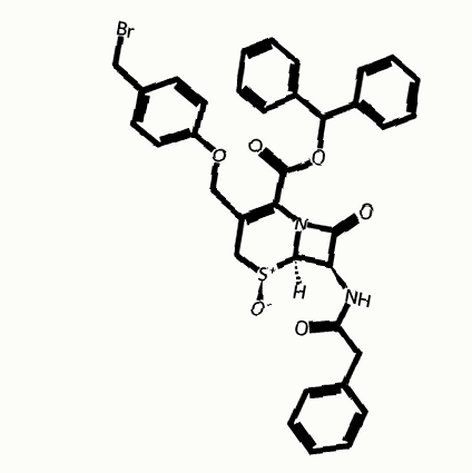 O=C(Cc1ccccc1)N[C@@H]1C(=O)N2C(C(=O)OC(c3ccccc3)c3ccccc3)=C(COc3ccc(CBr)cc3)C[S@+]([O-])[C@H]12